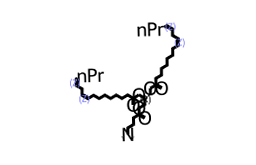 CCC/C=C\C/C=C\CCCCCCCC(=O)OC[C@H](COC(=O)CCCN(C)C)OC(=O)CCCCCCC/C=C\C/C=C\CCC